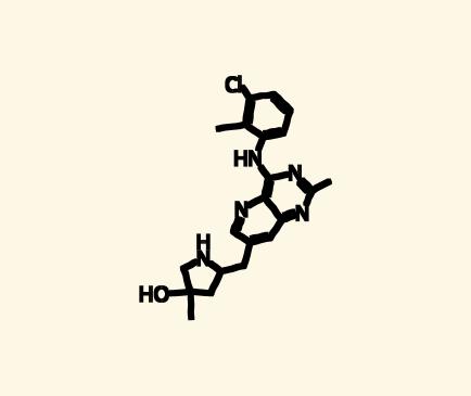 Cc1nc(Nc2cccc(Cl)c2C)c2ncc(CC3CC(C)(O)CN3)cc2n1